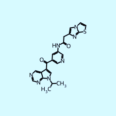 CC(C)n1cc(C(=O)c2cncc(NC(=O)Cc3cn4ccsc4n3)c2)c2cncnc21